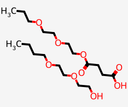 CCCCOCCOCCO.CCCOCCOCCOC(=O)CCC(=O)O